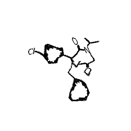 CC(C)N1CC(=O)N(Cc2ccccc2)C(c2ccc(Cl)cc2)C1=O